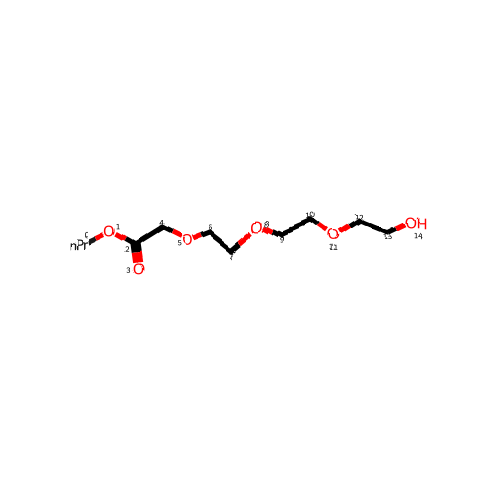 CCCOC(=O)COCCOCCOCCO